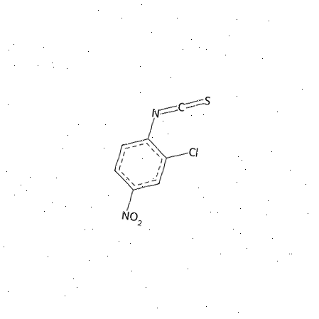 O=[N+]([O-])c1ccc(N=C=S)c(Cl)c1